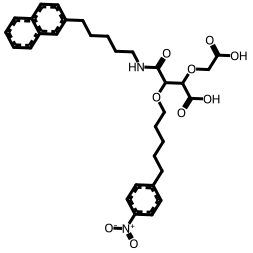 O=C(O)COC(C(=O)O)C(OCCCCCc1ccc([N+](=O)[O-])cc1)C(=O)NCCCCCc1ccc2ccccc2c1